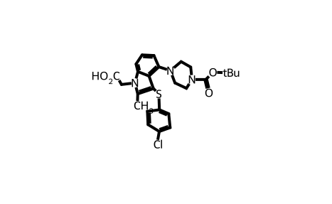 Cc1c(Sc2ccc(Cl)cc2)c2c(N3CCN(C(=O)OC(C)(C)C)CC3)cccc2n1CC(=O)O